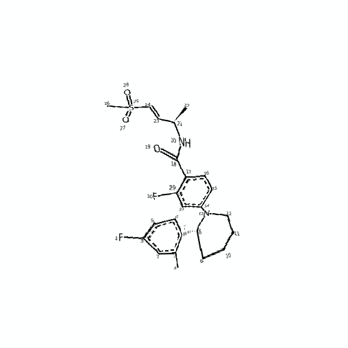 Cc1cc(F)ccc1[C@H]1CCCCN1c1ccc(C(=O)N[C@H](C)/C=C/S(C)(=O)=O)c(F)c1